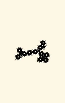 CC1(C)c2ccccc2-c2ccc(N(c3ccc(-c4ccc(-c5ccc6c(c5)c5ccccc5n6-c5ccccc5)cc4)cc3)c3ccc4c(c3)-c3ccccc3C4(c3ccccc3)c3ccccc3)cc21